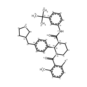 Cc1cccc(F)c1C(=O)N1CCC[C@H](C(=O)Nc2cccc(C(C)(C)C)c2)[C@@H]1c1ccc(CC2CCOC2)cc1